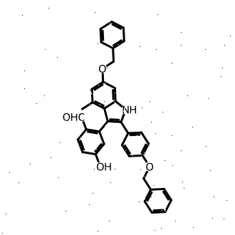 Cc1cc(OCc2ccccc2)cc2[nH]c(-c3ccc(OCc4ccccc4)cc3)c(-c3cc(O)ccc3C=O)c12